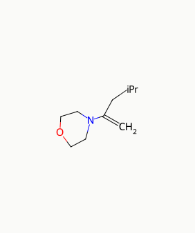 C=C(CC(C)C)N1CCOCC1